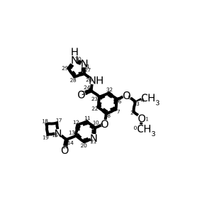 COC[C@H](C)Oc1cc(Oc2ccc(C(=O)N3CCC3)cn2)cc(C(=O)Nc2cc[nH]n2)c1